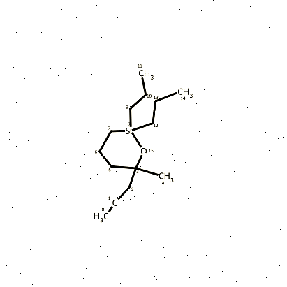 CCCC1(C)CCC[Si](CCC)(CCC)O1